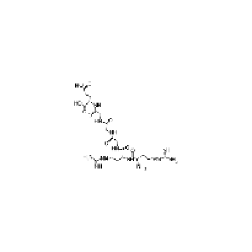 N=C(N)NCCCC(N)C(=O)NC(CCCNC(=N)N)C(=O)NCC(=O)NCC(=O)NCC(=O)NC(CCC(=O)O)C(=O)O